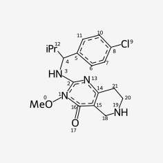 COn1c(NC(c2ccc(Cl)cc2)C(C)C)nc2c(c1=O)CNCC2